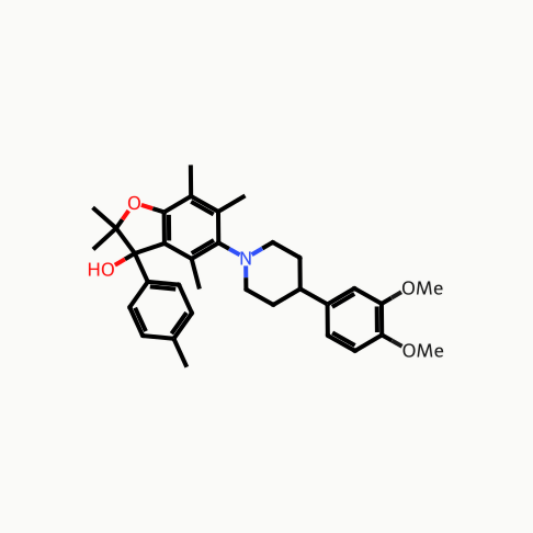 COc1ccc(C2CCN(c3c(C)c(C)c4c(c3C)C(O)(c3ccc(C)cc3)C(C)(C)O4)CC2)cc1OC